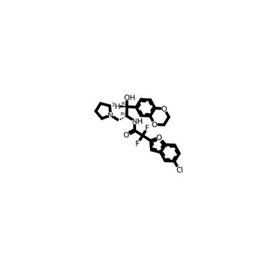 [2H][C@@](O)(c1ccc2c(c1)OCCO2)[C@@H](CN1CCCC1)NC(=O)C(F)(F)c1cc2cc(Cl)ccc2o1